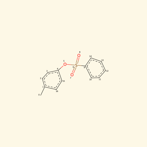 Cc1ccc(OS(=O)(=O)c2ccccc2)cc1